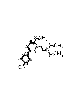 CCN(CC)CCN1CC(c2ccc(Cl)cc2)=CC=C1CN